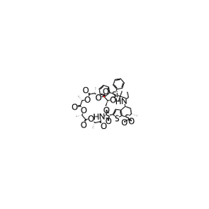 CCN[C@H]1C[C@H](C)S(=O)(=O)c2sc(S(=O)(=O)NC(=O)[C@H](C)OC(=O)[C@H](C)OC(=O)[C@H](C)OC(=O)[C@H](C)OC(=O)[C@H](C)O[Si](c3ccccc3)(c3ccccc3)C(C)(C)C)cc21